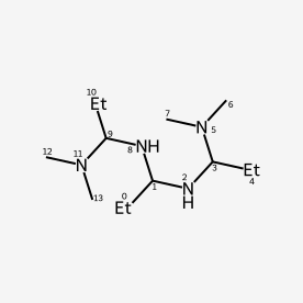 [CH2]CC(NC(CC)N(C)C)NC(CC)N(C)C